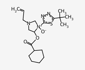 C=CCN1CC(OC(=O)C2CCCCC2)[N+]([O-])(c2nnc(C(C)(C)C)s2)C1